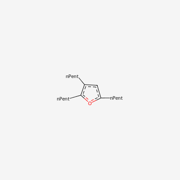 CCCCCc1cc(CCCCC)c(CCCCC)o1